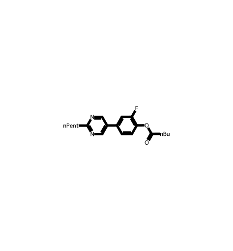 CCCCCc1ncc(-c2ccc(OC(=O)CCCC)c(F)c2)cn1